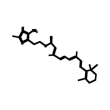 CC(C=CC1=C(C)CCCC1(C)C)=CC=CC(C)=CC(=O)OCCc1nc(C)[nH]c1[N+](=O)[O-]